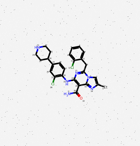 CCc1cn2c(Cc3ccccc3Cl)nc(Nc3ccc(C4CCNCC4)cc3Cl)c(C(N)=O)c2n1